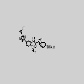 CNc1ccn2c(C(=O)Nc3cc(-c4noc([C@H]5C[C@@H]5F)n4)ccc3C)cnc2c1